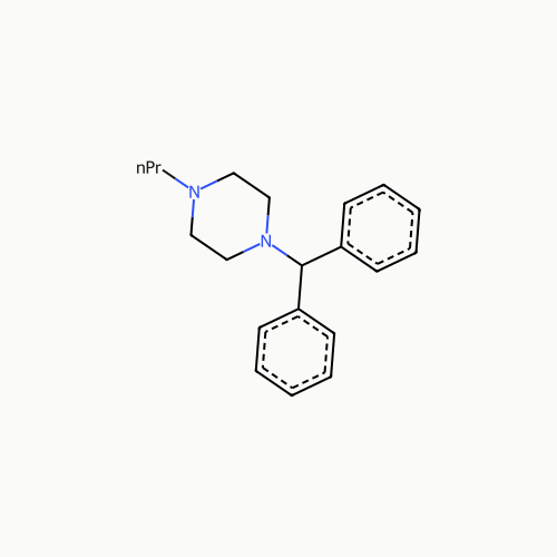 [CH2]CCN1CCN(C(c2ccccc2)c2ccccc2)CC1